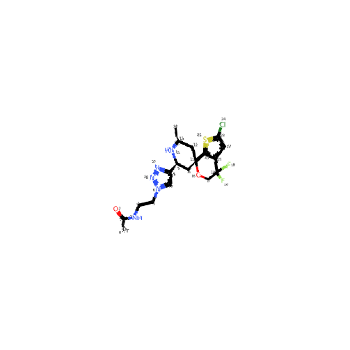 CC(C)C(=O)NCCn1cc([C@@H]2C[C@]3(C[C@H](C)N2)OCC(F)(F)c2cc(Cl)sc23)nn1